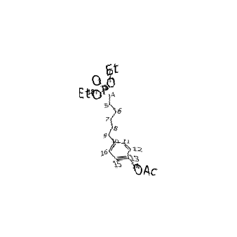 CCOP(=O)(CCCCCCc1ccc(OC(C)=O)cc1)OCC